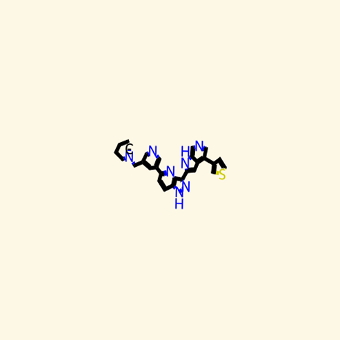 c1cc(-c2cncc3[nH]c(-c4n[nH]c5ccc(-c6cncc(CN7CCCCC7)c6)nc45)cc23)cs1